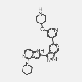 c1cc2[nH]c(-c3n[nH]c4cnc(-c5cncc(OC6CCNCC6)c5)cc34)cc2c(N2CCCCC2)n1